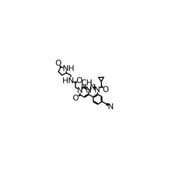 Cc1nc(-c2ccc(C#N)cc2N(N)C(=O)C2CC2)cc(=O)n1CC(=O)NCC1CCC(=O)N1